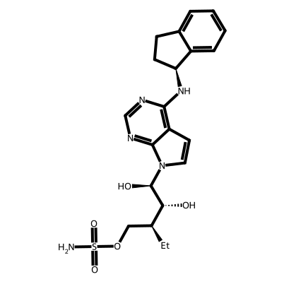 CC[C@@H](COS(N)(=O)=O)[C@@H](O)[C@@H](O)n1ccc2c(N[C@H]3CCc4ccccc43)ncnc21